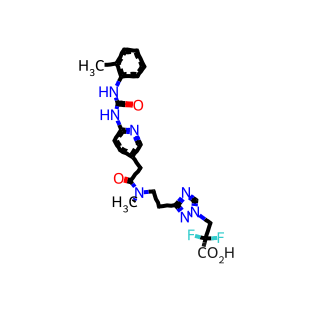 Cc1ccccc1NC(=O)Nc1ccc(CC(=O)N(C)CCc2ncn(CC(F)(F)C(=O)O)n2)cn1